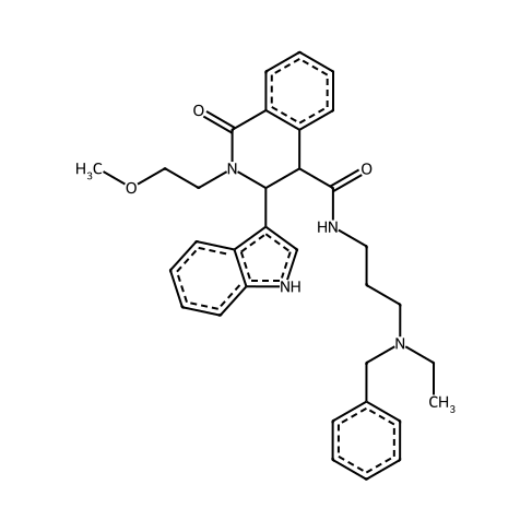 CCN(CCCNC(=O)C1c2ccccc2C(=O)N(CCOC)C1c1c[nH]c2ccccc12)Cc1ccccc1